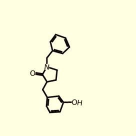 O=C1C(Cc2cccc(O)c2)CCN1Cc1ccccc1